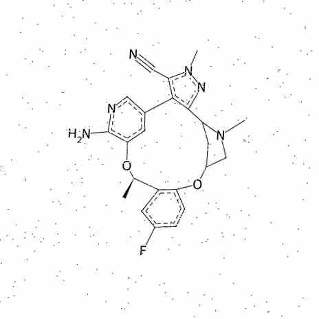 C[C@H]1Oc2cc(cnc2N)-c2c(nn(C)c2C#N)C2CC(CN2C)Oc2ccc(F)cc21